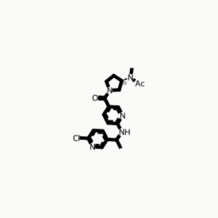 CC(=O)N(C)[C@H]1CCN(C(=O)c2ccc(NC(C)c3ccc(Cl)nc3)nc2)C1